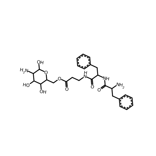 NC(Cc1ccccc1)C(=O)NC(Cc1ccccc1)C(=O)NCCC(=O)OCC1OC(O)C(N)C(O)C1O